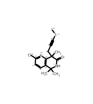 CC1(C)NC(=O)C(C)(CC#CSI)c2nc(Cl)ccc21